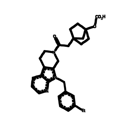 CCc1cccc(Cn2c3c(c4cccnc42)CCN(C(=O)CC24CCC(OC(=O)O)(CC2)C4)C3)c1